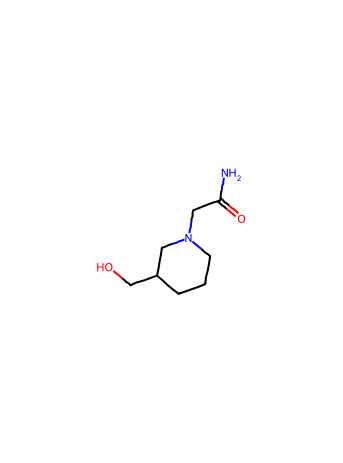 NC(=O)CN1CCCC(CO)C1